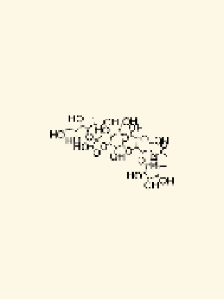 CC(=O)NC1C(O)OC(CO)C(OC2OC(CO)C(O)C(OC3(C(=O)O)CC(O)C(C)C([C@H](O)[C@H](O)CO)O3)C2O)C1OC1OC(C)C(O)C(O)C1O